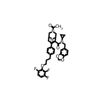 CC(=O)N1CC2CC(c3ccc(CCCOc4c(F)ccc(F)c4F)cc3)=C(C(=O)N(Cc3ccc4c(c3)OCO4)C3CC3)C(C1)N2